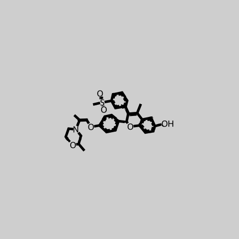 CC1=C(c2cccc(S(C)(=O)=O)c2)C(c2ccc(OCC(C)N3CCOC(C)C3)cc2)Oc2ccc(O)cc21